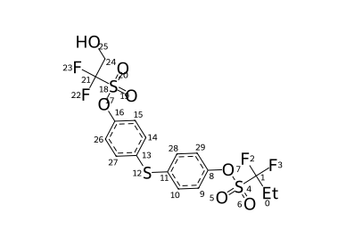 CCC(F)(F)S(=O)(=O)Oc1ccc(Sc2ccc(OS(=O)(=O)C(F)(F)CO)cc2)cc1